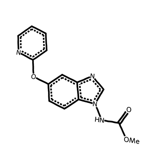 COC(=O)Nn1cnc2cc(Oc3ccccn3)ccc21